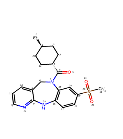 CC[C@H]1CC[C@H](C(=O)N2Cc3cccnc3Nc3ccc(S(C)(=O)=O)cc32)CC1